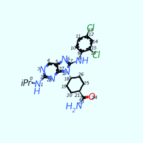 CC(C)Nc1ncc2nc(Nc3ccc(Cl)cc3Cl)n([C@H]3CC[C@H](C(N)=O)CC3)c2n1